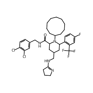 O=C(NCc1ccc(Cl)c(Cl)c1)C1CC(CNC2=NCCC2)CC(c2ccc(F)cc2C(F)(F)F)N1C1CCCCCCCCC1